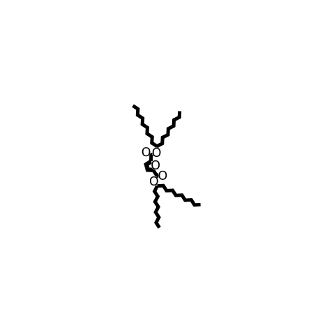 CCCCCCCCCC(CCCCCCCC)OC(=O)c1ccc(C(=O)OC(CCCCCCCC)CCCCCCCCC)o1